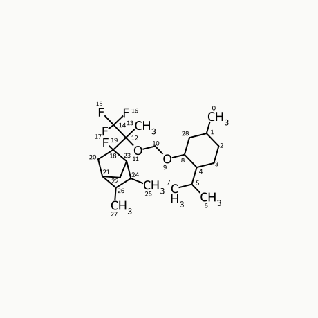 CC1CCC(C(C)C)C(OCOC(C)(C(F)(F)F)C2(F)CC3CC2C(C)C3C)C1